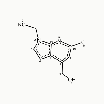 N#CCn1ccc2c(CO)cc(Cl)nc21